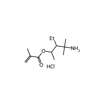 C=C(C)C(=O)OC(C)C(CC)C(C)(C)N.Cl